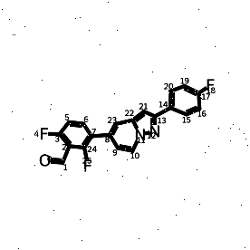 O=Cc1c(F)ccc(-c2ccn3nc(-c4ccc(F)cc4)cc3c2)c1F